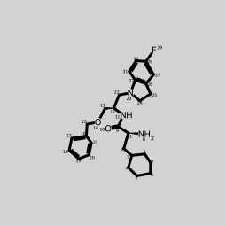 N[C@@H](CC1CCCCC1)C(=O)N[C@@H](COCc1ccccc1)CN1CCc2cc(F)ccc21